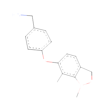 CB1OCc2ccc(Oc3ccc([C@@H](C)N)cc3)c(C)c21